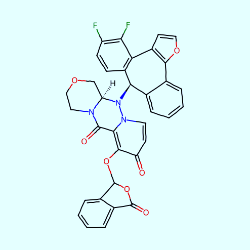 O=C1OC(Oc2c3n(ccc2=O)N([C@@H]2c4ccccc4-c4occc4-c4c2ccc(F)c4F)[C@@H]2COCCN2C3=O)c2ccccc21